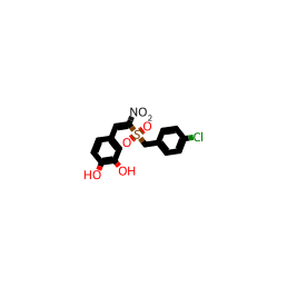 O=[N+]([O-])C(=Cc1ccc(O)c(O)c1)S(=O)(=O)Cc1ccc(Cl)cc1